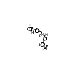 O=C(Cc1ccc(N2C[C@@H]3C[C@H]2CO3)cc1)N[C@@H]1CCN(c2cncc(C(F)(F)F)c2)C1